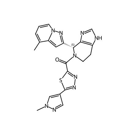 Cc1cccn2nc([C@@H]3c4nc[nH]c4CCN3C(=O)c3nnc(-c4cnn(C)c4)s3)cc12